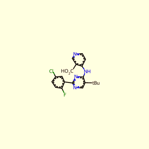 CC(C)(C)c1cnc(-c2cc(Cl)ccc2F)nc1Nc1ccncc1C(=O)O